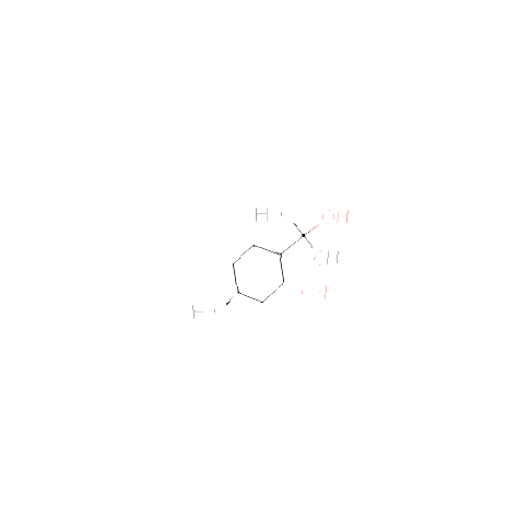 C[C@H]1CCC(C(C)(C)O)[C@H](O)C1